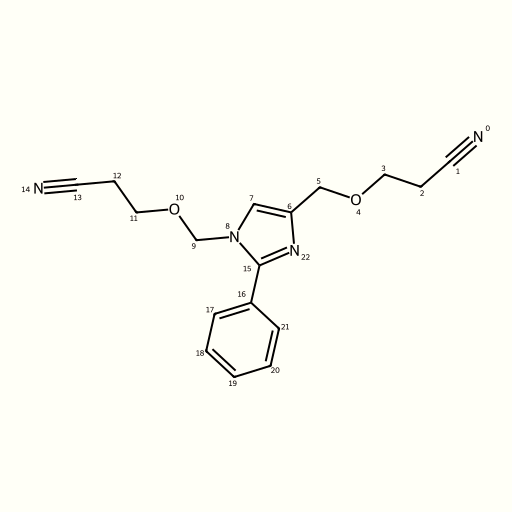 N#CCCOCc1cn(COCCC#N)c(-c2ccccc2)n1